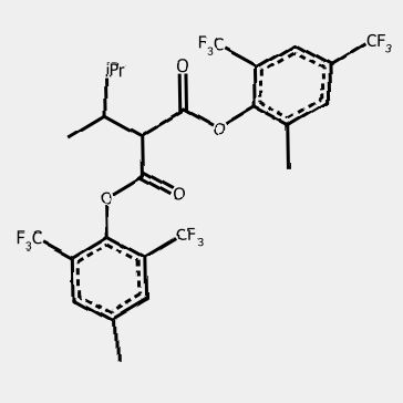 Cc1cc(C(F)(F)F)c(OC(=O)C(C(=O)Oc2c(C)cc(C(F)(F)F)cc2C(F)(F)F)C(C)C(C)C)c(C(F)(F)F)c1